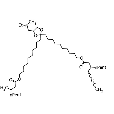 C=C=C=C=CC(CCCCC)CC(=O)OCCCCCCCCCCC1(CCCCCCCCCCOC(=O)CC(C)CCCCC)OCC(CN(C)CC)O1